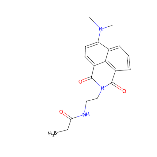 BCC(=O)NCCN1C(=O)c2cccc3c(N(C)C)ccc(c23)C1=O